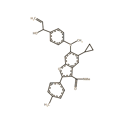 C=CC(O)c1ccc(N(C)c2cc3oc(-c4ccc(C)cc4)c(C(=O)NC)c3cc2C2CC2)cc1